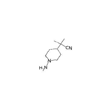 CC(C)(C#N)C1CCN(N)CC1